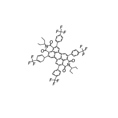 CCC(CC)N1C(=O)c2c(-c3ccc(C(F)(F)F)cc3)cc3c4cc(-c5ccc(C(F)(F)F)cc5)c5c6c(c(C7C=CC(C(F)(F)F)=CC7)cc(c7cc(-c8ccc(C(F)(F)F)cc8)c(c2c37)C1=O)c64)C(=O)N(C(CC)CC)C5=O